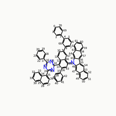 c1ccc(-c2cccc(-c3ccc4c(-c5nc(-c6ccccc6)nc(-c6cccc7ccccc67)n5)c(-c5ccccc5)cc(-n5c6cc7ccccc7cc6c6cc7ccccc7cc65)c4c3)c2)cc1